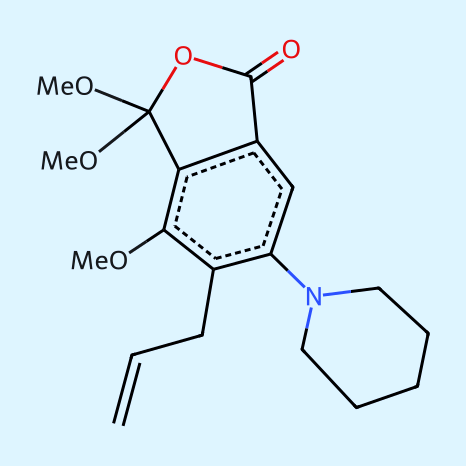 C=CCc1c(N2CCCCC2)cc2c(c1OC)C(OC)(OC)OC2=O